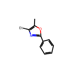 [CH2]Cc1nc(-c2ccccc2)oc1C